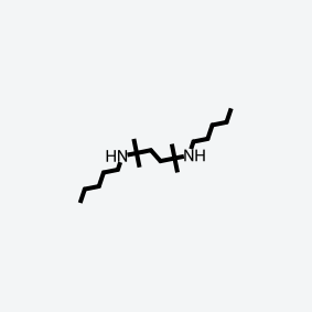 CCCCCNC(C)(C)CCC(C)(C)NCCCCC